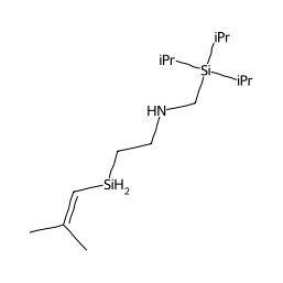 CC(C)=C[SiH2]CCNC[Si](C(C)C)(C(C)C)C(C)C